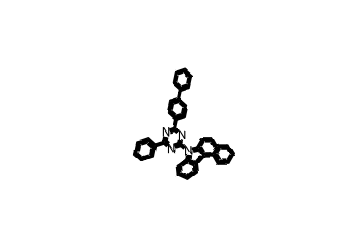 c1ccc(-c2ccc(-c3nc(-c4ccccc4)nc(-n4c5ccccc5c5c6ccccc6ccc54)n3)cc2)cc1